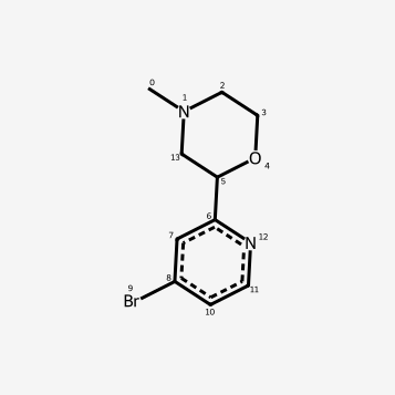 CN1CCOC(c2cc(Br)ccn2)C1